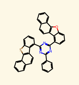 c1ccc(-c2nc(-c3cccc4oc5c6ccccc6ccc5c34)nc(-c3cccc4sc5c6ccccc6ccc5c34)n2)cc1